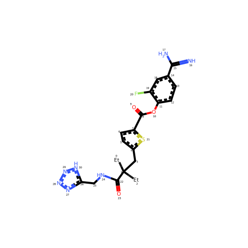 CCC(CC)(Cc1ccc(C(=O)Oc2ccc(C(=N)N)cc2F)s1)C(=O)NCc1nnn[nH]1